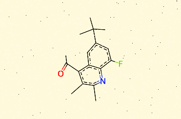 CC(=O)c1c(C)c(C)nc2c(F)cc(C(C)(C)C)cc12